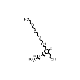 C=C(C)C(=O)O.C=C(C)C(=O)O.C=CN1CCC(CCO)C1=O.OCCOCCOCCOCCO